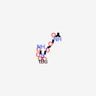 C=C(C)C(=O)NCCOCCOCCN(C(=O)CON)C(=O)OC(C)(C)C